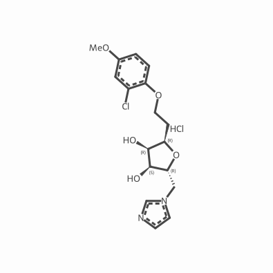 COc1ccc(OCC[C@H]2O[C@H](Cn3ccnc3)[C@@H](O)[C@H]2O)c(Cl)c1.Cl